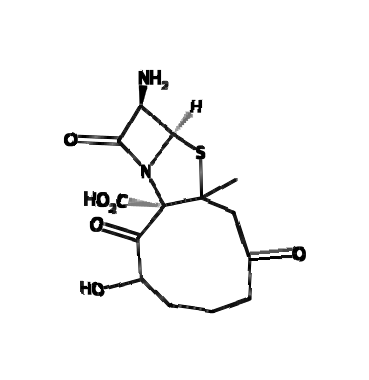 CC12CC(=O)CCCC(O)C(=O)[C@@]1(C(=O)O)N1C(=O)[C@@H](N)[C@H]1S2